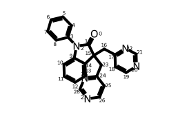 O=C1N(c2ccccc2)c2ccccc2C1(Cc1ccncn1)Cc1ccncn1